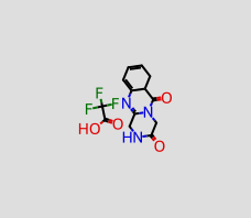 O=C(O)C(F)(F)F.O=C1CN2C(=O)C3CC=CC=C3N=C2CN1